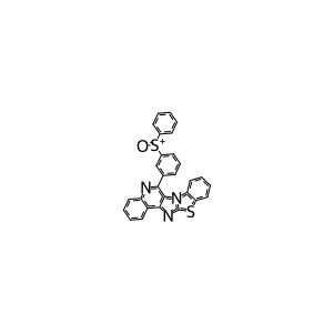 [O-][S+](c1ccccc1)c1cccc(-c2nc3ccccc3c3nc4sc5ccccc5n4c23)c1